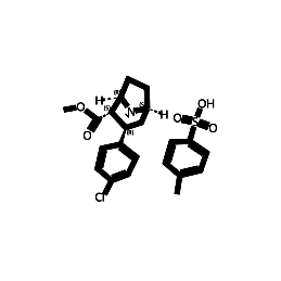 COC(=O)[C@@H]1[C@H]2CC[C@@H](C[C@H]1c1ccc(Cl)cc1)N2C.Cc1ccc(S(=O)(=O)O)cc1